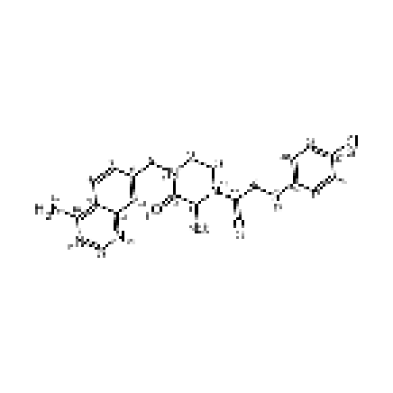 CCC1C(=O)N(Cc2ccc3c(N)ncnc3c2)CCN1C(=O)CSc1ccc(Cl)cc1